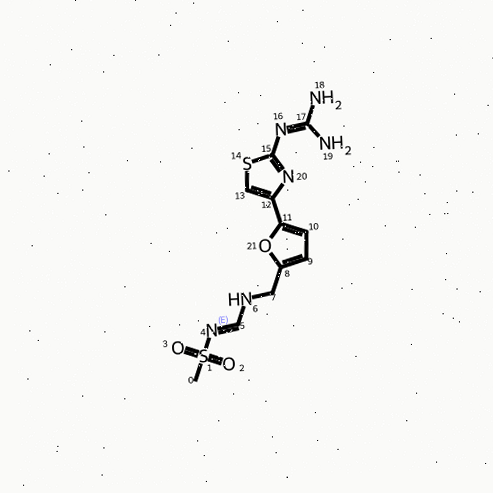 CS(=O)(=O)/N=C/NCc1ccc(-c2csc(N=C(N)N)n2)o1